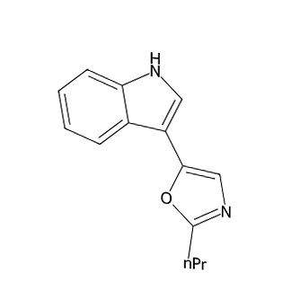 CCCc1ncc(-c2c[nH]c3ccccc23)o1